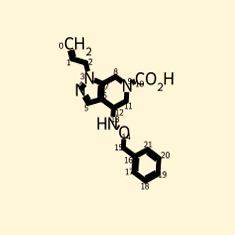 C=CCn1ncc2c1CN(C(=O)O)CC2NOCc1ccccc1